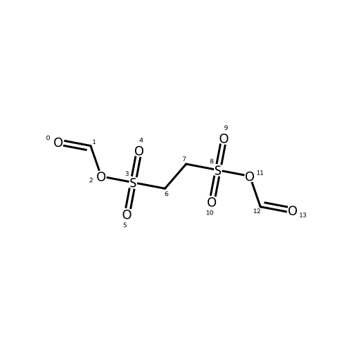 O=COS(=O)(=O)CCS(=O)(=O)OC=O